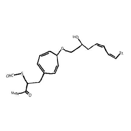 CC/C=C\C=C/CC(O)COC1C=CC=C(CC(SC=O)C(=O)NC)C=C1